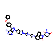 Nc1ncnc2c1c(-c1ccc(Oc3ccccc3)cc1)nn2C1CC2CN(C3CN(C4CN(c5ccc6c7c(cccc57)N(C5CCC(=O)NC5=O)C6=O)C4)C3)CC2C1